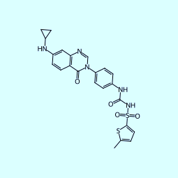 Cc1ccc(S(=O)(=O)NC(=O)Nc2ccc(-n3cnc4cc(NC5CC5)ccc4c3=O)cc2)s1